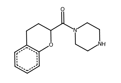 O=C(C1CCc2ccccc2O1)N1CCNCC1